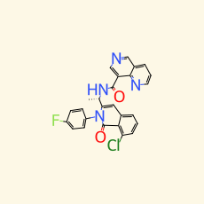 C[C@H](NC(=O)c1cncc2cccnc12)c1cc2cccc(Cl)c2c(=O)n1-c1ccc(F)cc1